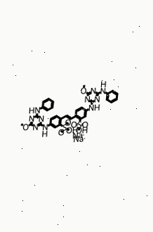 COc1nc(Nc2ccccc2)nc(Nc2ccc(C=Cc3ccc(Nc4nc(Nc5ccccc5)nc(OC)n4)cc3S(=O)(=O)O)c(S(=O)(=O)O)c2)n1.[Na].[Na]